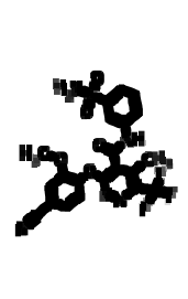 COc1cc(C#N)ccc1Oc1nnc(C(F)(F)F)c(C)c1C(=O)Nc1cccc(S(N)(=O)=O)c1